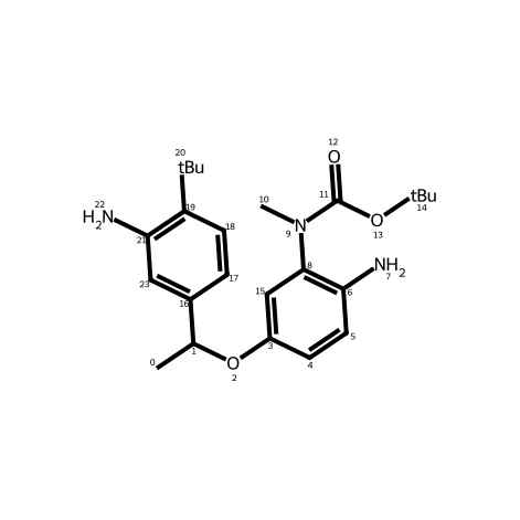 CC(Oc1ccc(N)c(N(C)C(=O)OC(C)(C)C)c1)c1ccc(C(C)(C)C)c(N)c1